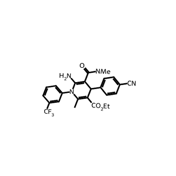 CCOC(=O)C1=C(C)N(c2cccc(C(F)(F)F)c2)C(N)=C(C(=O)NC)C1c1ccc(C#N)cc1